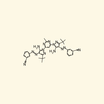 Cc1nc(-n2nc(C(C)(C)C)c(/N=N/c3cccc(C#N)c3)c2N)cc(-n2nc(C(C)(C)C)c(/N=N/c3cccc(C#N)c3)c2N)n1